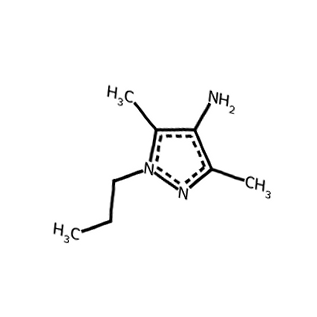 CCCn1nc(C)c(N)c1C